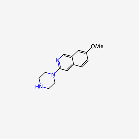 COc1ccc2cc(N3CCNCC3)ncc2c1